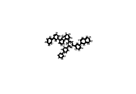 c1ccc(-c2ccc(-c3nc(-c4cccc(-c5ccc6ccccc6c5)c4)nc(-c4cccc5sc6c(-c7cccc(-c8ccccc8)c7)cccc6c45)n3)cc2)cc1